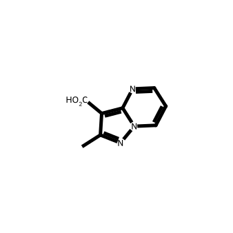 Cc1nn2cccnc2c1C(=O)O